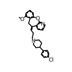 COc1cccc2c1C/C(=C/CCN1CCC(c3ccc(Cl)cc3)CC1)c1cccnc1O2